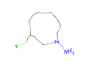 NN1CCCCC(F)C1